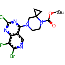 CC(C)(C)OC(=O)N1CCN(c2nc(Cl)nc3c(F)c(Br)ncc23)CC12CC2